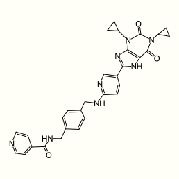 O=C(NCc1ccc(CNc2ccc(-c3nc4c([nH]3)c(=O)n(C3CC3)c(=O)n4C3CC3)cn2)cc1)c1ccncc1